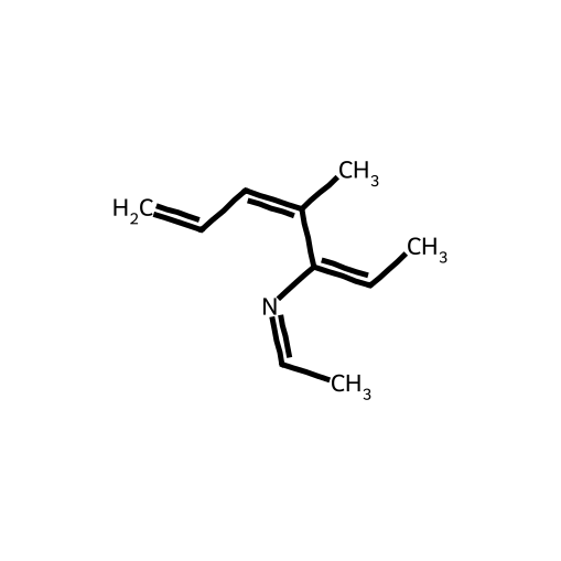 C=C\C=C(C)/C(=C\C)/N=C\C